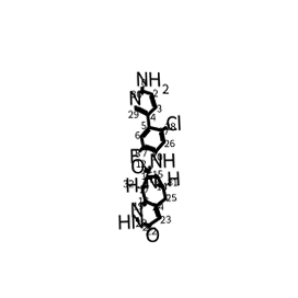 Nc1ccc(-c2cc(F)c(NC(=O)N3[C@H]4CC[C@@H]3c3n[nH]c(=O)cc3C4)cc2Cl)cn1